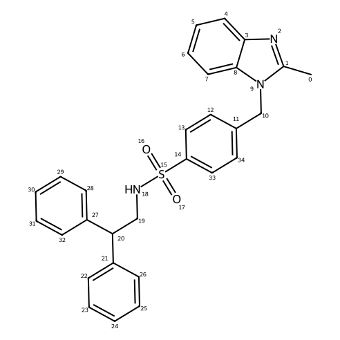 Cc1nc2ccccc2n1Cc1ccc(S(=O)(=O)NCC(c2ccccc2)c2ccccc2)cc1